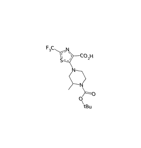 CC1CN(c2sc(C(F)(F)F)nc2C(=O)O)CCN1C(=O)OC(C)(C)C